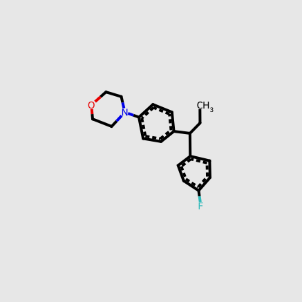 CCC(c1ccc(F)cc1)c1ccc(N2CCOCC2)cc1